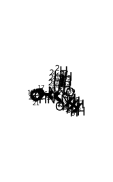 [2H]C([2H])([2H])C([2H])([2H])C([2H])([2H])n1c(=O)c2[nH]c(C34CC5CC(CC3C5)C4)nc2n(C([2H])([2H])C([2H])([2H])C([2H])([2H])[2H])c1=O